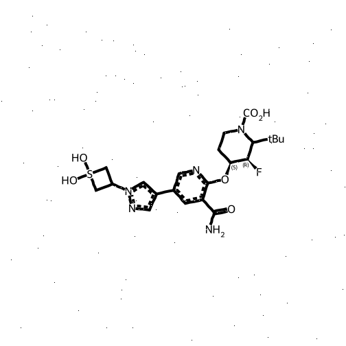 CC(C)(C)C1[C@@H](F)[C@@H](Oc2ncc(-c3cnn(C4CS(O)(O)C4)c3)cc2C(N)=O)CCN1C(=O)O